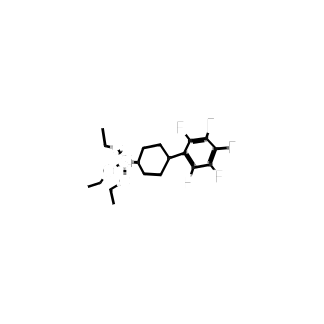 CCO[Si](OCC)(OCC)C1CCC(c2c(F)c(F)c(F)c(F)c2F)CC1